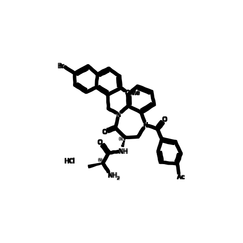 COc1ccc2cc(Br)ccc2c1CN1C(=O)[C@@H](NC(=O)[C@H](C)N)CN(C(=O)c2ccc(C(C)=O)cc2)c2ccccc21.Cl